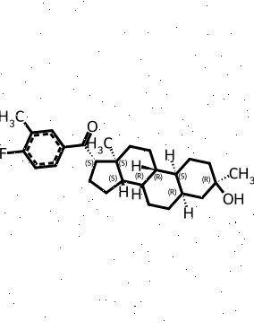 Cc1cc(C(=O)[C@H]2CC[C@H]3[C@@H]4CC[C@@H]5C[C@](C)(O)CC[C@@H]5[C@H]4CC[C@]23C)ccc1F